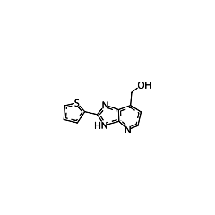 OCc1ccnc2[nH]c(-c3cccs3)nc12